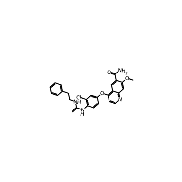 C=C(NCCc1ccccc1)Nc1ccc(Oc2ccnc3cc(OC)c(C(N)=O)cc23)cc1Cl